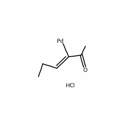 CCC=[C]([Pd])C(C)=O.Cl